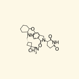 C[C@]1(C#N)C[C@@H](CN[C@H]2CCCC[C@H]2Oc2ccc3c(c2)CN(C2CCC(=O)NC2=O)C3=O)C1